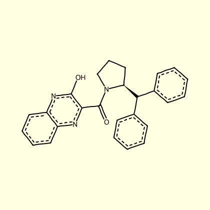 O=C(c1nc2ccccc2nc1O)N1CCC[C@H]1C(c1ccccc1)c1ccccc1